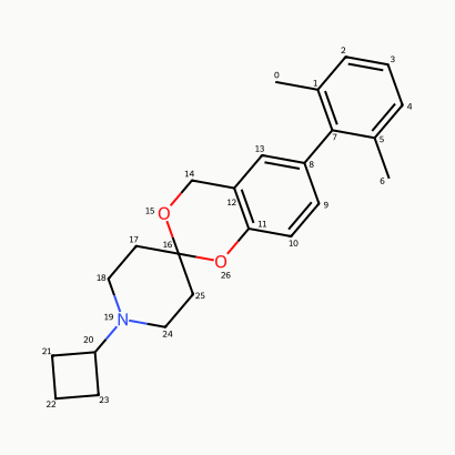 Cc1cccc(C)c1-c1ccc2c(c1)COC1(CCN(C3CCC3)CC1)O2